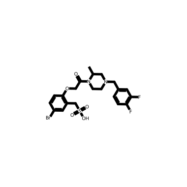 CC1CN(Cc2ccc(F)c(F)c2)CCN1C(=O)COc1ccc(Br)cc1CS(=O)(=O)O